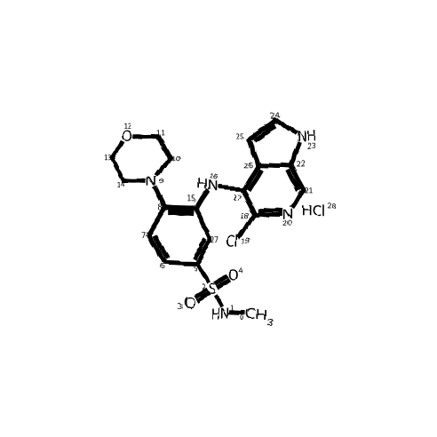 CNS(=O)(=O)c1ccc(N2CCOCC2)c(Nc2c(Cl)ncc3[nH]ccc23)c1.Cl